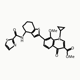 COC(=O)c1cn(C2CC2)c2c(OC)c(-c3cc4c(s3)CCCC4NC(=O)c3nccs3)ccc2c1=O